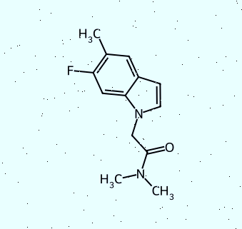 Cc1cc2ccn(CC(=O)N(C)C)c2cc1F